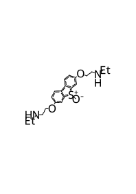 CCNCCOc1ccc2c3ccc(OCCNCC)cc3[s+]([O-])c2c1